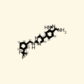 Nc1n[nH]c2cc(-c3cnc(NCc4cccc(C(F)(F)F)c4)nc3)ccc12